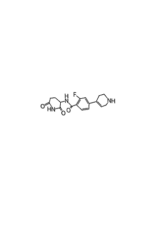 O=C1CCC(NC(=O)c2ccc(C3=CCNCC3)cc2F)C(=O)N1